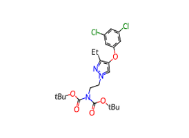 CCc1nn(CCN(C(=O)OC(C)(C)C)C(=O)OC(C)(C)C)cc1Oc1cc(Cl)cc(Cl)c1